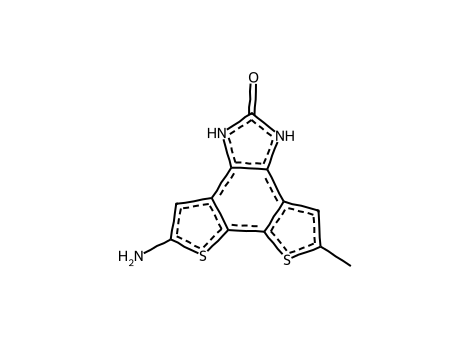 Cc1cc2c3[nH]c(=O)[nH]c3c3cc(N)sc3c2s1